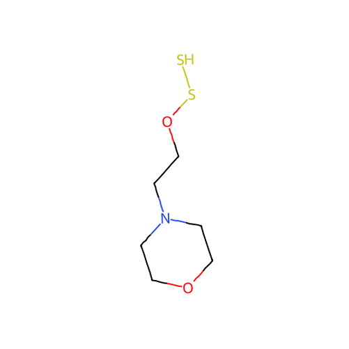 SSOCCN1CCOCC1